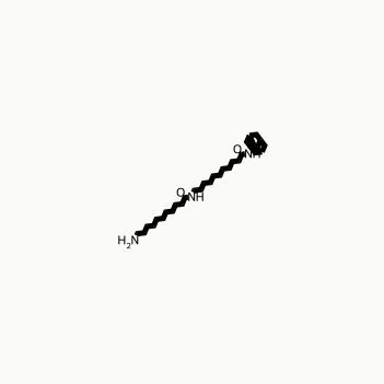 NCCCCCCCCCCC(=O)NCCCCCCCCCCC(=O)NC12CC3CC(CC(C3)C1)C2